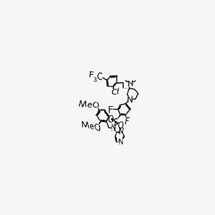 COc1ccc(CN(c2ccncn2)S(=O)(=O)c2c(F)cc(N3CCC[C@](CCc4ccc(C(F)(F)F)cc4Cl)(N(C)C)C3)cc2F)c(OC)c1